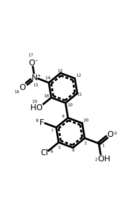 O=C(O)c1cc(Cl)c(F)c(-c2cccc([N+](=O)[O-])c2O)c1